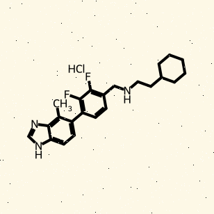 Cc1c(-c2ccc(CNCCC3CCCCC3)c(F)c2F)ccc2[nH]cnc12.Cl